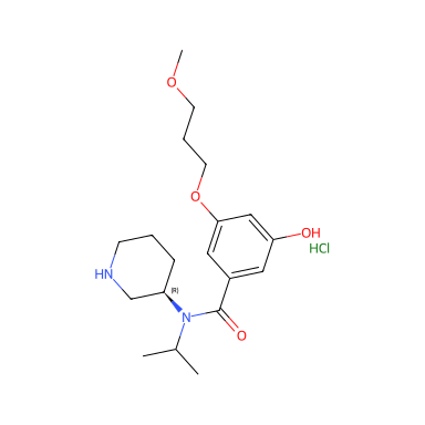 COCCCOc1cc(O)cc(C(=O)N(C(C)C)[C@@H]2CCCNC2)c1.Cl